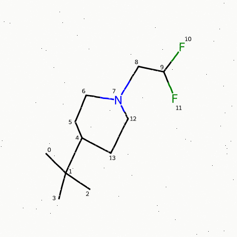 CC(C)(C)C1CCN(CC(F)F)CC1